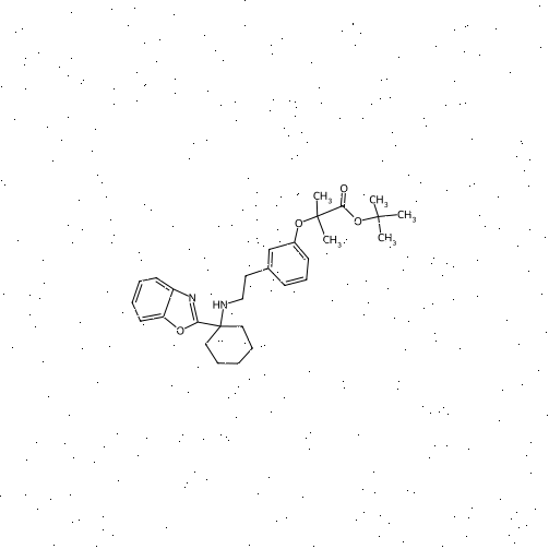 CC(C)(C)OC(=O)C(C)(C)Oc1cccc(CCNC2(c3nc4ccccc4o3)CCCCC2)c1